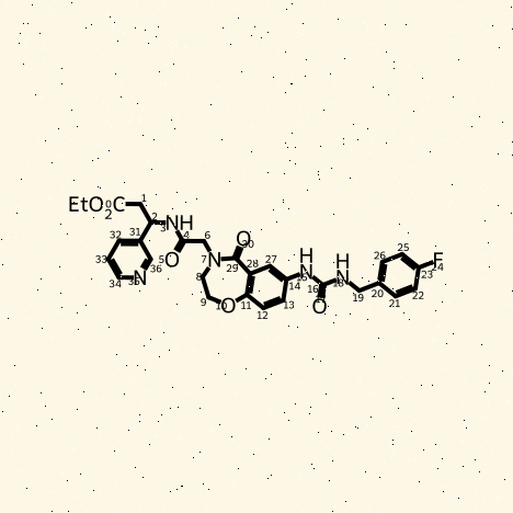 CCOC(=O)CC(NC(=O)CN1CCOc2ccc(NC(=O)NCc3ccc(F)cc3)cc2C1=O)c1cccnc1